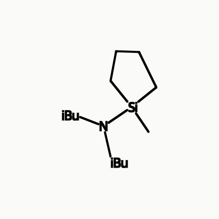 CCC(C)N(C(C)CC)[Si]1(C)CCCC1